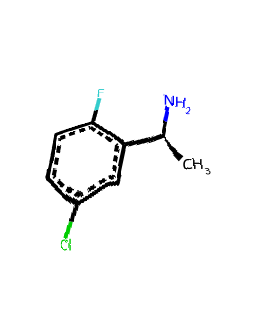 C[C@H](N)c1cc(Cl)ccc1F